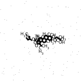 CC(C)C1=C2C3CCC4[C@@]5(C)CC[C@H](OC(=O)CC(C)(C)C(=O)O)C(C)(C)C5CC[C@@]4(C)[C@]3(C)CC[C@@]2(NC(=O)OCC2CCN(C)C2)CC1=O